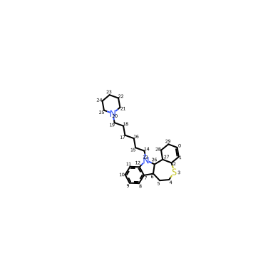 C1=CC2SCCC3c4ccccc4N(CCCCCCN4CCCCC4)C3C2CC1